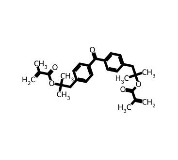 C=C(C)C(=O)OC(C)(C)Cc1ccc(C(=O)c2ccc(CC(C)(C)OC(=O)C(=C)C)cc2)cc1